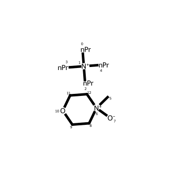 CCC[N+](CCC)(CCC)CCC.C[N+]1([O-])CCOCC1